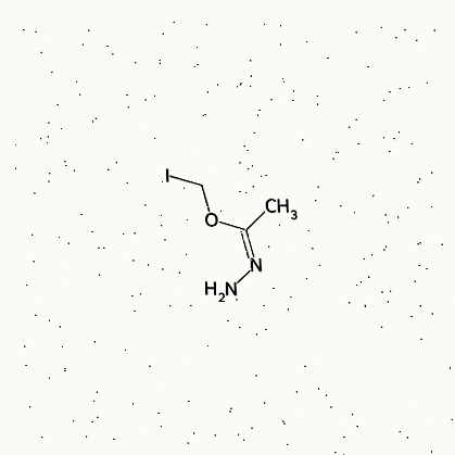 C/C(=N/N)OCI